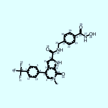 Cn1cc(-c2ccc(C(F)(F)F)cc2)c2cc(C(=O)NCc3ccc(C(=O)NO)cc3)[nH]c2c1=O